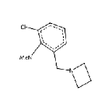 CNc1c(Cl)cccc1CN1CCC1